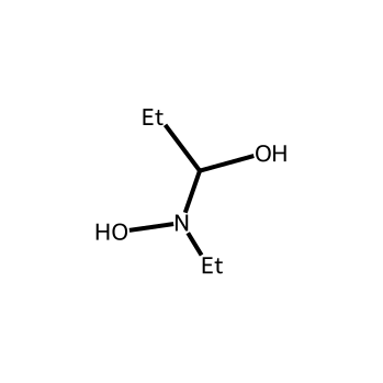 CCC(O)N(O)CC